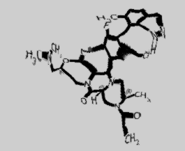 C=CC(=O)N1C[C@@H]2C(=O)N3C[C@@H](CN(C)C)Oc4nc5c(F)c(-c6c(C)ccc7cn[nH]c67)c(Cl)cc5c(c43)N2C[C@H]1C